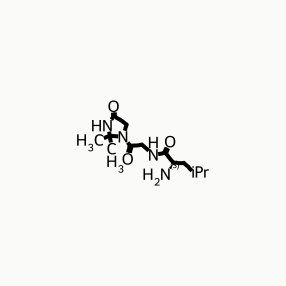 CC(C)C[C@H](N)C(=O)NCC(=O)N1CC(=O)NC1(C)C